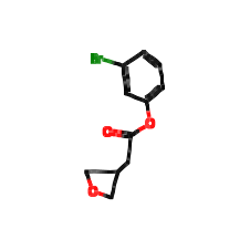 O=C(CC1COC1)Oc1cccc(Br)c1